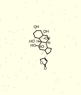 C[C@]12C[C@@H](O)[C@H]3[C@@H](CC[C@]4(O)C[C@@H](O)C[C@@H](O)[C@]34CO)[C@@]1(O)CC[C@@H]2C1=CC(=O)OC1